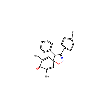 CCc1ccc(C2=NOC3(C=C(C(C)(C)C)C(=O)C(C(C)(C)C)=C3)C2c2ccccc2)cc1